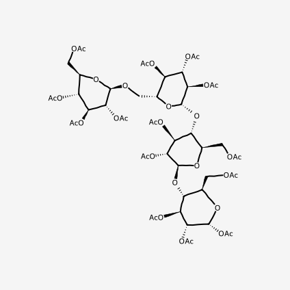 CC(=O)OC[C@H]1O[C@@H](OC[C@H]2O[C@@H](O[C@H]3[C@H](OC(C)=O)[C@@H](OC(C)=O)[C@H](O[C@H]4[C@H](OC(C)=O)[C@@H](OC(C)=O)[C@@H](OC(C)=O)O[C@@H]4COC(C)=O)O[C@@H]3COC(C)=O)[C@H](OC(C)=O)[C@@H](OC(C)=O)[C@@H]2OC(C)=O)[C@H](OC(C)=O)[C@@H](OC(C)=O)[C@@H]1OC(C)=O